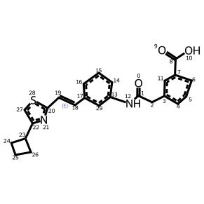 O=C(Cc1cccc(C(=O)O)c1)Nc1cccc(/C=C/c2nc(C3CCC3)cs2)c1